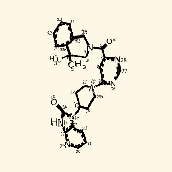 CC1(C)CN(C(=O)c2cc(N3CCC(n4c(=O)[nH]c5ncccc54)CC3)ncn2)Cc2ccccc21